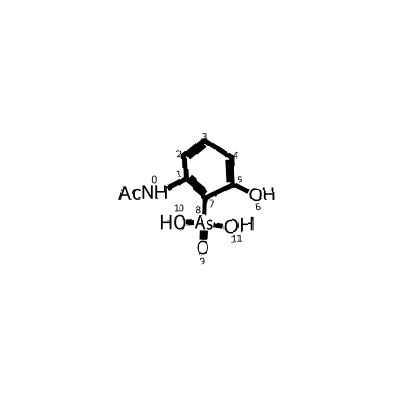 CC(=O)Nc1cccc(O)c1[As](=O)(O)O